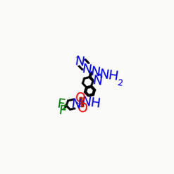 CN1CCN(c2nc(N)nc3c2CCc2cc(NS(=O)(=O)N4CCC(F)(F)CC4)ccc2-3)CC1